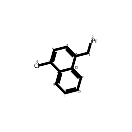 CC(C)Cc1ccc(Cl)c2ccccc12